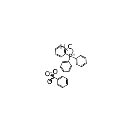 CC[P+](c1ccccc1)(c1ccccc1)c1ccccc1.O=S(=O)([O-])c1ccccc1